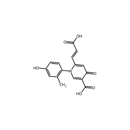 Cc1cc(O)ccc1-n1cc(C(=O)O)c(=O)cc1C=CC(=O)O